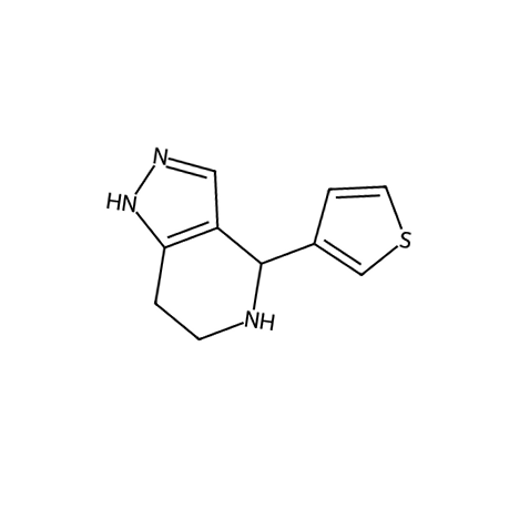 c1cc(C2NCCc3[nH]ncc32)cs1